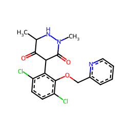 CC1NN(C)C(=O)C(c2c(Cl)ccc(Cl)c2OCc2ccccn2)C1=O